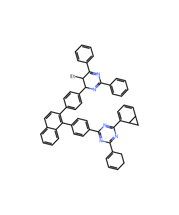 CCC1C(c2ccccc2)=NC(c2ccccc2)=NC1c1ccc(-c2ccc3ccccc3c2-c2ccc(-c3nc(C4=CC=CCC4)nc(C4=CC=CC5CC45)n3)cc2)cc1